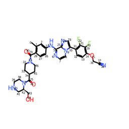 Cc1cc(Nc2nccn3c(-c4ccc(OCC#N)c(F)c4F)cnc23)ccc1C(=O)N1CCC(C(=O)N2CCNC[C@@H]2CO)CC1